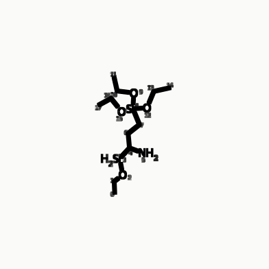 CCO[SiH2]C(N)CC[Si](OCC)(OCC)OCC